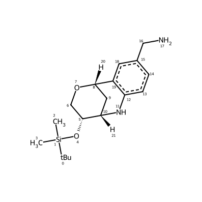 CC(C)(C)[Si](C)(C)O[C@@H]1CO[C@H]2C[C@@H]1Nc1ccc(CN)cc12